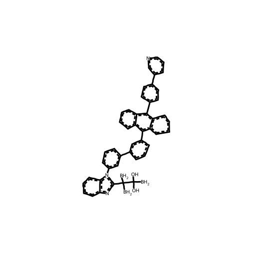 BC(O)(O)C(B)(B)c1nc2ccccc2n1-c1cccc(-c2cccc(-c3c4ccccc4c(-c4ccc(-c5cccnc5)cc4)c4ccccc34)c2)c1